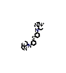 CC/C(=N\c1cccc(Sc2cccc(/N=C(\CC)c3n(C)cc[n+]3C)c2)c1)C1=NCCN1C